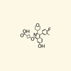 Cc1cc(-c2c(C3CCOCC3)nc(O[C@H]3C[C@H](C(=O)O)C3)c3cc(O)ccc23)ccc1F